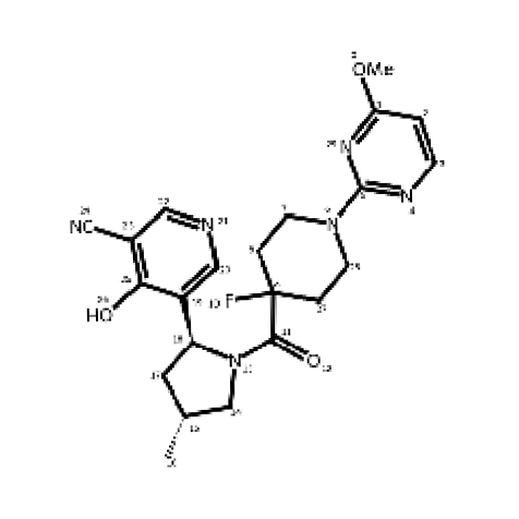 COc1ccnc(N2CCC(F)(C(=O)N3C[C@H](C)C[C@H]3c3cncc(C#N)c3O)CC2)n1